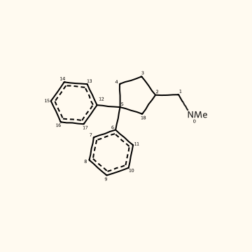 CNCC1CCC(c2ccccc2)(c2ccccc2)C1